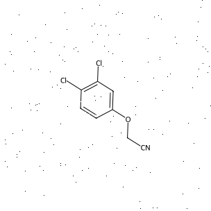 N#CCOc1ccc(Cl)c(Cl)c1